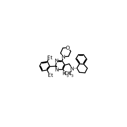 CCc1cccc(CC)c1-c1nc(C)c(CN(C)[C@H]2CCCc3ccccc32)c(N2CCOCC2)n1